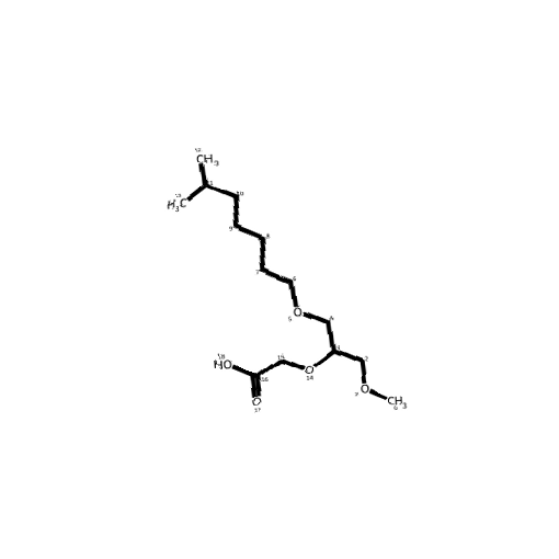 COCC(COCCCCCC(C)C)OCC(=O)O